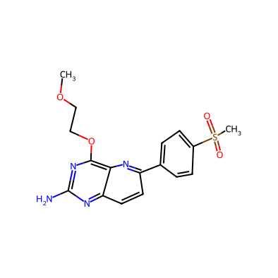 COCCOc1nc(N)nc2ccc(-c3ccc(S(C)(=O)=O)cc3)nc12